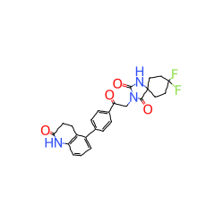 O=C1CCc2c(cccc2-c2ccc(C(=O)CN3C(=O)NC4(CCC(F)(F)CC4)C3=O)cc2)N1